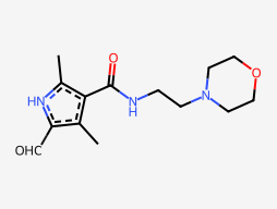 Cc1[nH]c(C=O)c(C)c1C(=O)NCCN1CCOCC1